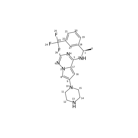 C[C@@H](Nc1ncnn2cc(N3CCNCC3)cc12)c1cccc(C(F)(F)F)c1